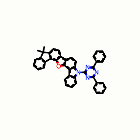 CC1(C)c2ccccc2-c2c1ccc1c2oc2c1ccc1c2c2ccccc2n1-c1nc(-c2ccccc2)nc(-c2ccccc2)n1